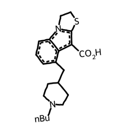 CCCCN1CCC(Cc2cccc3c2c(C(=O)O)c2n3CCS2)CC1